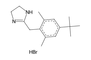 Br.Cc1cc(C(C)(C)C)cc(C)c1CC1=NCCN1